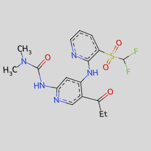 CCC(=O)c1cnc(NC(=O)N(C)C)cc1Nc1ncccc1S(=O)(=O)C(F)F